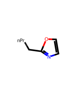 [CH2]CCCc1ncco1